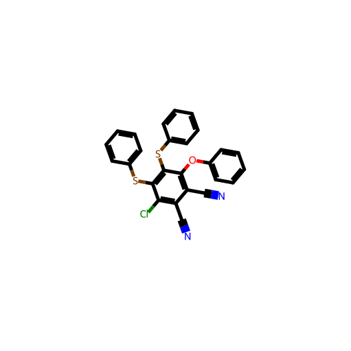 N#Cc1c(Cl)c(Sc2ccccc2)c(Sc2ccccc2)c(Oc2ccccc2)c1C#N